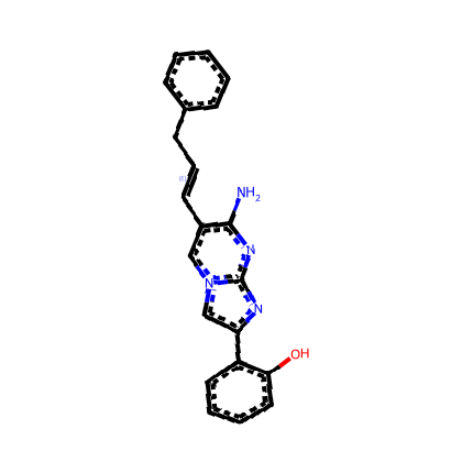 Nc1nc2nc(-c3ccccc3O)cn2cc1/C=C/Cc1ccccc1